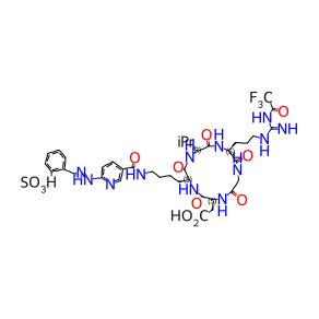 CC(C)[C@H]1NC(=O)[C@H](CCCCNC(=O)c2ccc(N/N=C/c3ccccc3S(=O)(=O)O)nc2)NC(=O)[C@H](CC(=O)O)NC(=O)CNC(=O)[C@H](CCCNC(=N)NC(=O)C(F)(F)F)NC1=O